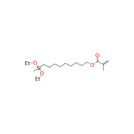 C=C(C)C(=O)OCCCCCCCCC[Si](C)(OCC)OCC